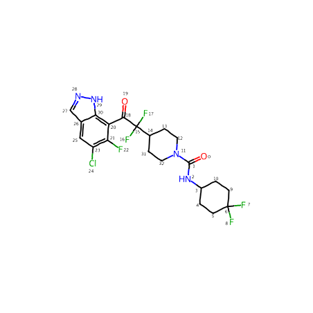 O=C(NC1CCC(F)(F)CC1)N1CCC(C(F)(F)C(=O)c2c(F)c(Cl)cc3cn[nH]c23)CC1